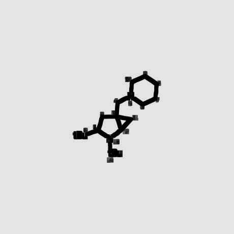 CC(C)(C)C1CC2(CN3CCCCC3)CC2N1C(C)(C)C